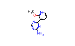 COc1ncccc1-c1ncnc(N)n1